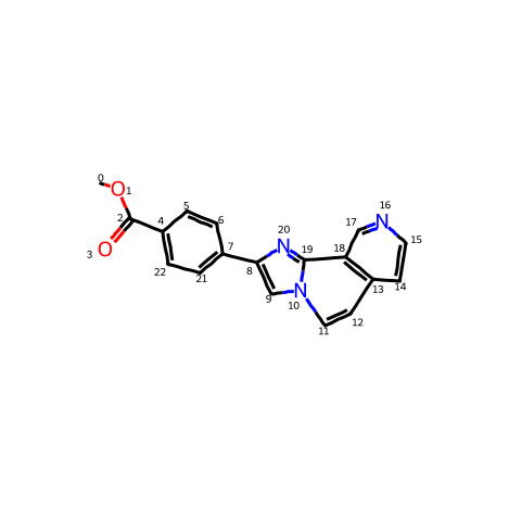 COC(=O)c1ccc(-c2cn3ccc4ccncc4c3n2)cc1